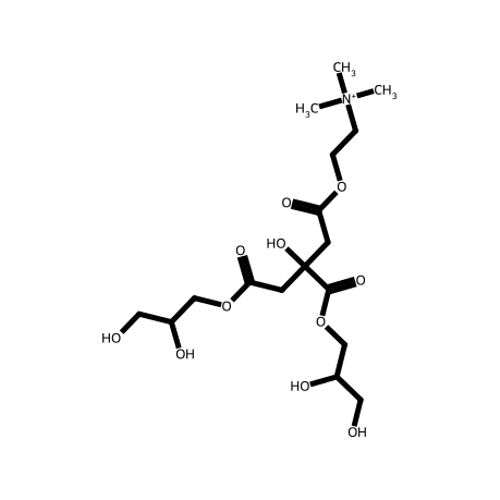 C[N+](C)(C)CCOC(=O)CC(O)(CC(=O)OCC(O)CO)C(=O)OCC(O)CO